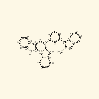 Cc1nc2ccccc2n1-c1cccc(-c2cc3c4ccccc4oc3c3c2oc2ccccc23)c1